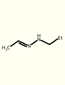 CC=NNCCC